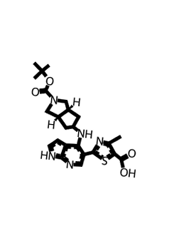 Cc1nc(-c2cnc3[nH]ccc3c2NC2C[C@@H]3CN(C(=O)OC(C)(C)C)C[C@@H]3C2)sc1C(=O)O